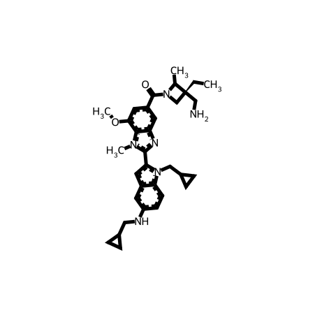 CC[C@@]1(CN)CN(C(=O)c2cc(OC)c3c(c2)nc(-c2cc4cc(NCC5CC5)ccc4n2CC2CC2)n3C)C1C